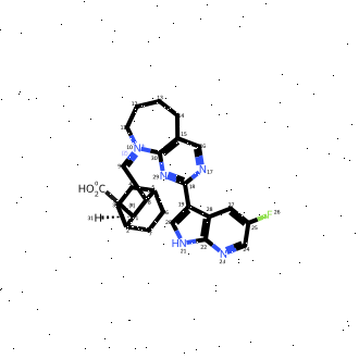 O=C(O)[C@@H]1C2CCC(CC2)C1/C=[N+]1/CCCCc2cnc(-c3c[nH]c4ncc(F)cc34)nc21